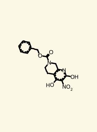 O=C(OCc1ccccc1)N1CCc2c(nc(O)c([N+](=O)[O-])c2O)C1